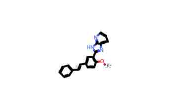 CC(C)Oc1ccc(/C=C/c2ccccc2)cc1-c1nc2cccnc2[nH]1